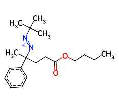 CCCCOC(=O)CCC(C)(/N=N/C(C)(C)C)c1ccccc1